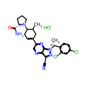 CC1CC(c2cnc3c(C#N)nn([C@H](C)c4ccc(Cl)cc4Cl)c3n2)=CCC1N1CCC[C@H]1C(N)=O.Cl